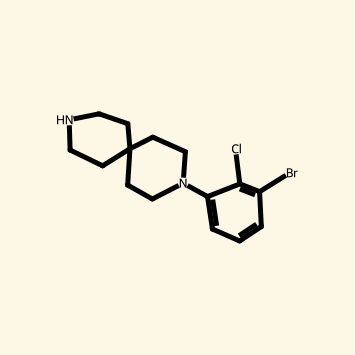 Clc1c(Br)cccc1N1CCC2(CCNCC2)CC1